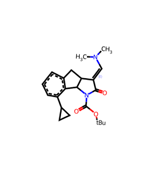 CN(C)/C=C1/C(=O)N(C(=O)OC(C)(C)C)C2c3c(cccc3C3CC3)CC12